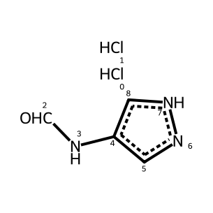 Cl.Cl.O=CNc1cn[nH]c1